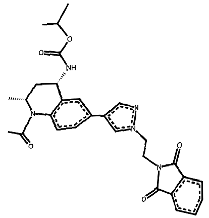 CC(=O)N1c2ccc(-c3cnn(CCN4C(=O)c5ccccc5C4=O)c3)cc2[C@@H](NC(=O)OC(C)C)C[C@H]1C